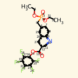 CCOP(=O)(Cc1ccc2ncc(C(=O)Oc3c(F)c(F)c(F)c(F)c3F)cc2c1)OCC